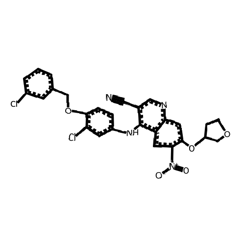 N#Cc1cnc2cc(OC3CCOC3)c([N+](=O)[O-])cc2c1Nc1ccc(OCc2cccc(Cl)c2)c(Cl)c1